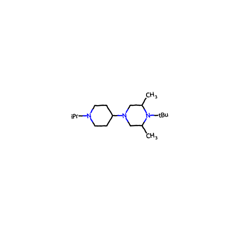 CC(C)N1CCC(N2CC(C)N(C(C)(C)C)C(C)C2)CC1